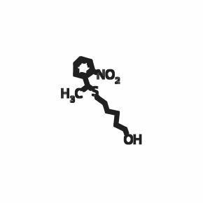 CC(SCCCCCCO)c1ccccc1[N+](=O)[O-]